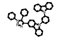 c1ccc(-c2c(-c3ccc4c(c3)c3ccccc3n4-c3cccc(-n4c5ccccc5c5ccccc54)c3)nnn2-c2ccccc2)cc1